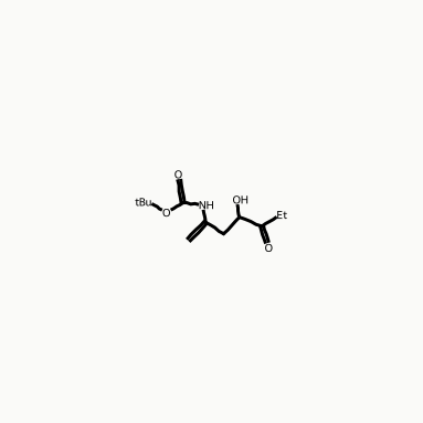 C=C(CC(O)C(=O)CC)NC(=O)OC(C)(C)C